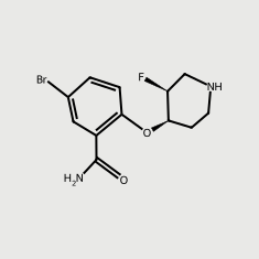 NC(=O)c1cc(Br)ccc1O[C@@H]1CCNC[C@@H]1F